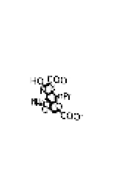 CCCc1c2nc(C(=O)[O-])c(O)nc2cc2c(=O)cc(C(=O)[O-])oc12.[Na+].[Na+]